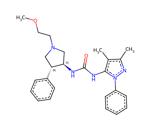 COCCN1C[C@@H](NC(=O)Nc2c(C)c(C)nn2-c2ccccc2)[C@H](c2ccccc2)C1